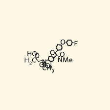 C=C(CCN(c1cc2oc(-c3ccc(Oc4ccc(F)cc4)cc3)c(C(=O)NC)c2cc1C1CC1)S(C)(=O)=O)OO